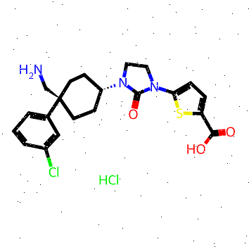 Cl.NC[C@]1(c2cccc(Cl)c2)CC[C@@H](N2CCN(c3ccc(C(=O)O)s3)C2=O)CC1